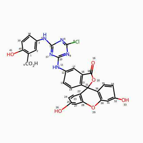 O=C(O)c1cc(Nc2nc(Cl)nc(Nc3ccc4c(c3)C(=O)OC43c4ccc(O)cc4Oc4cc(O)ccc43)n2)ccc1O